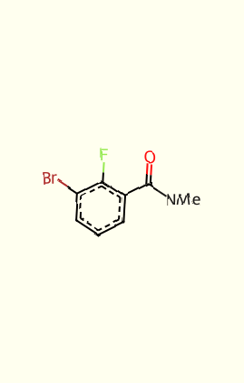 CNC(=O)c1cccc(Br)c1F